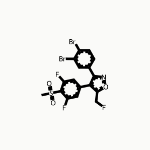 CS(=O)(=O)c1c(F)cc(-c2c(-c3ccc(Br)c(Br)c3)noc2CF)cc1F